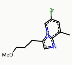 COCCCc1cnc2c(C)cc(Br)cn12